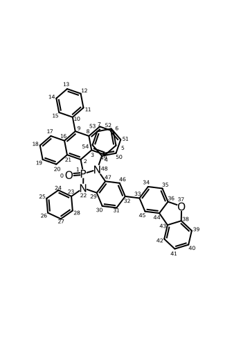 O=P1(c2c3ccccc3c(-c3ccccc3)c3ccccc23)N(c2ccccc2)c2ccc(-c3ccc4oc5ccccc5c4c3)cc2N1c1ccccc1